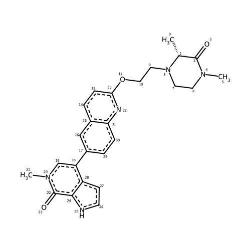 C[C@@H]1C(=O)N(C)CCN1CCOc1ccc2cc(-c3cn(C)c(=O)c4[nH]ccc34)ccc2n1